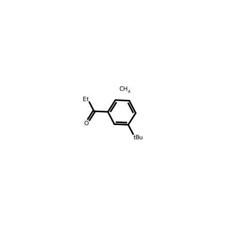 C.CCC(=O)c1cccc(C(C)(C)C)c1